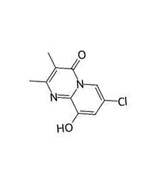 Cc1nc2c(O)cc(Cl)cn2c(=O)c1C